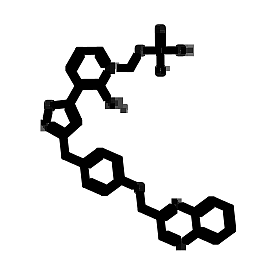 Nc1c(-c2cc(Cc3ccc(OCc4cnc5ccccc5n4)cc3)no2)ccc[n+]1COP(=O)([O-])O